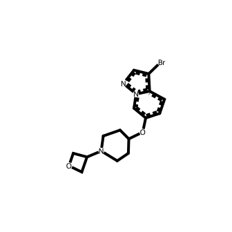 Brc1cnn2cc(OC3CCN(C4COC4)CC3)ccc12